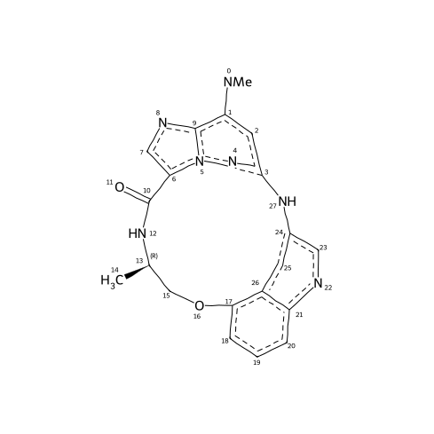 CNc1cc2nn3c(cnc13)C(=O)N[C@H](C)COc1cccc3ncc(cc13)N2